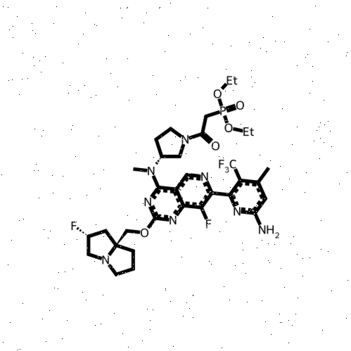 CCOP(=O)(CC(=O)N1CC[C@@H](N(C)c2nc(OC[C@@]34CCCN3C[C@H](F)C4)nc3c(F)c(-c4nc(N)cc(C)c4C(F)(F)F)ncc23)C1)OCC